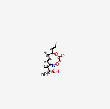 C/C=C/C1OC(=O)CO/N=C(C(C)C(O)CCC)\C=C\C1C